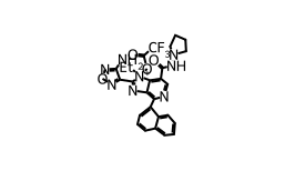 CC[N+]1(OC(=O)C(F)(F)F)C(c2nonc2N)=Nc2c(-c3cccc4ccccc34)ncc(C(=O)NN3CCCC3)c21